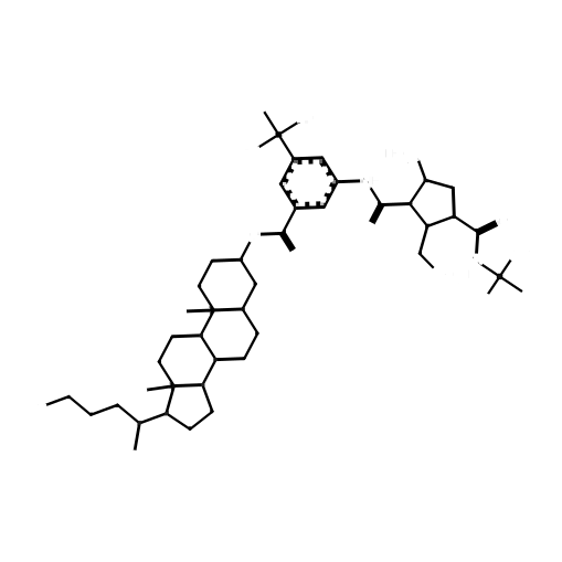 CCCCC(C)(CC)c1cc(NC(=O)C2C(C(=O)O)CC(C(=O)NC(C)(CC)CCC)C2CC(=O)O)cc(C(=O)OC2CCC3(C)C(CCC4C3CCC3(C)C(C(C)CCCC(C)C)CCC43)C2)c1